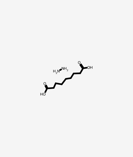 NN.O=C(O)CCCCCCCC(=O)O